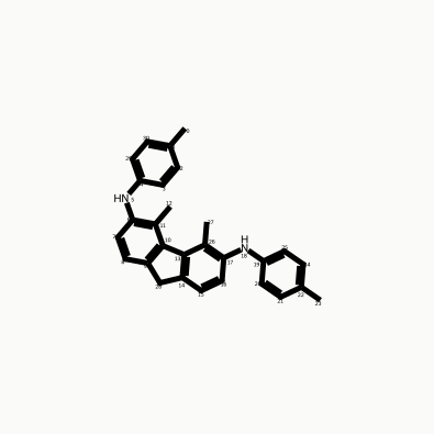 Cc1ccc(Nc2ccc3c(c2C)-c2c(ccc(Nc4ccc(C)cc4)c2C)C3)cc1